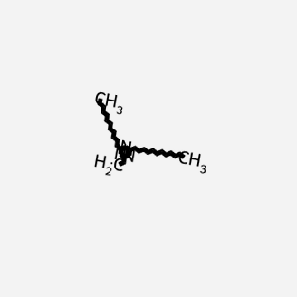 [CH2]Cc1nc(CCCCCCCCCCCC)nc(CCCCCCCCCCCC)n1